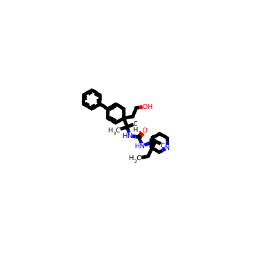 CCC1(NC(=O)NC(C)(C)C2(CCO)C=CC(c3ccccc3)=CC2)CN2CCC1CC2